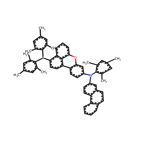 Cc1cc(C)c(B(c2c(C)cc(C)cc2C)c2ccc3c4c(cccc24)Oc2cc(N(c4ccc5c(ccc6ccccc65)c4)c4c(C)cc(C)cc4C)ccc2-3)c(C)c1